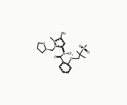 Cn1c(C(C)(C)C)c/c(=[N+](/C(=O)c2ccccc2OCC(C)(C)S(C)(=O)=O)C(F)(F)F)n1C[C@H]1CCCO1